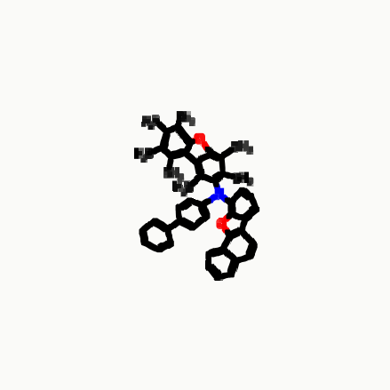 Bc1c(B)c(B)c2c(oc3c(B)c(B)c(N(c4ccc(-c5ccccc5)cc4)c4cccc5c4oc4c6ccccc6ccc54)c(B)c32)c1B